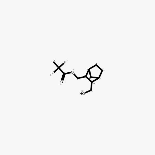 CC(F)(F)C(=O)OCC1C2CCC(C2)C1CO